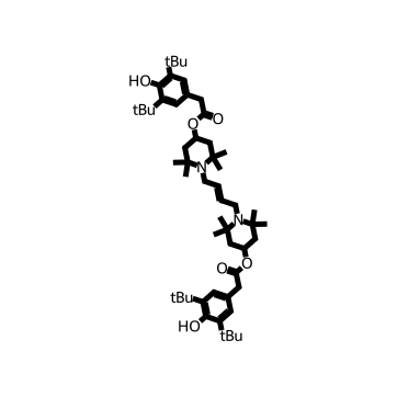 CC(C)(C)c1cc(CC(=O)OC2CC(C)(C)N(CC=CCN3C(C)(C)CC(OC(=O)Cc4cc(C(C)(C)C)c(O)c(C(C)(C)C)c4)CC3(C)C)C(C)(C)C2)cc(C(C)(C)C)c1O